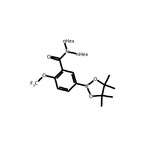 CCCCCCN(CCCCCC)C(=O)c1cc(B2OC(C)(C)C(C)(C)O2)ccc1OC(F)(F)F